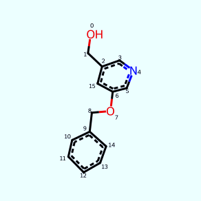 OCc1cncc(OCc2ccccc2)c1